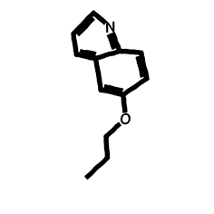 CCCOc1ccc2ncccc2c1